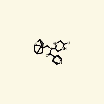 O=C(c1ccncc1)N(CC12CC3CC(CC(C3)C1)C2)C1CNC(Cl)CN1